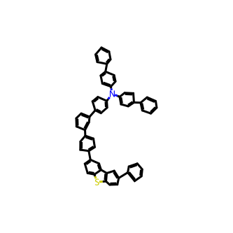 c1ccc(-c2ccc(N(c3ccc(-c4ccccc4)cc3)c3ccc(-c4cccc(-c5ccc(-c6ccc7sc8ccc(-c9ccccc9)cc8c7c6)cc5)c4)cc3)cc2)cc1